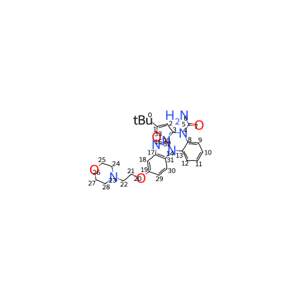 CC(C)(C)c1cc(N(C(N)=O)c2ccccc2-n2cnc3cc(OCCN4CCOCC4)ccc32)no1